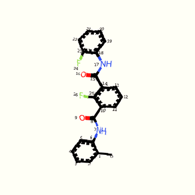 Cc1ccccc1NC(=O)c1cccc(C(=O)Nc2ccccc2F)c1F